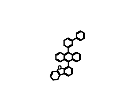 C1=Cc2oc3c(-c4c5ccccc5c(C5=CC(c6ccccc6)=CCC5)c5ccccc45)cccc3c2CC1